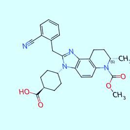 COC(=O)N1c2ccc3c(nc(Cc4ccccc4C#N)n3[C@H]3CC[C@H](C(=O)O)CC3)c2CC[C@@H]1C